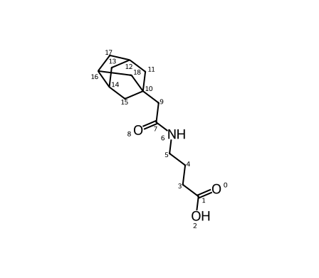 O=C(O)CCCNC(=O)CC12CC3CC(C1)C(C3)C2